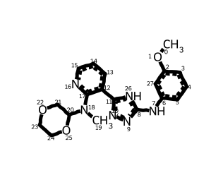 COc1cccc(Nc2nnc(-c3cccnc3N(C)C3COCCO3)[nH]2)c1